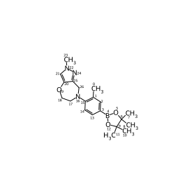 Cc1cc(B2OC(C)(C)C(C)(C)O2)ccc1N1CCOc2cn(C)nc2C1